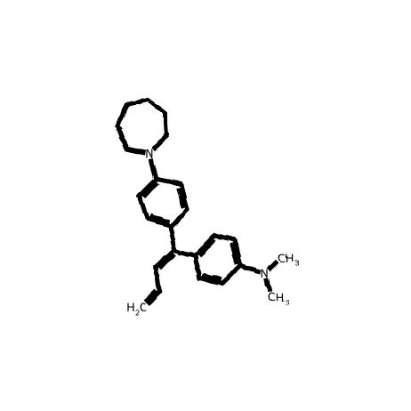 C=CC=C(c1ccc(N(C)C)cc1)c1ccc(N2CCCCCC2)cc1